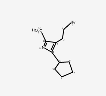 CC(C)CCC1=C(C2CCCC2)N=C1C(=O)O